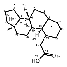 C[C@@]12CCC[C@H]1[C@@H]1CCC3CCCC(CC(=O)O)[C@@H]3[C@H]1CC2